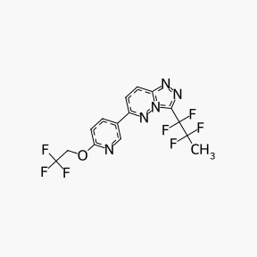 CC(F)(F)C(F)(F)c1nnc2ccc(-c3ccc(OCC(F)(F)F)nc3)nn12